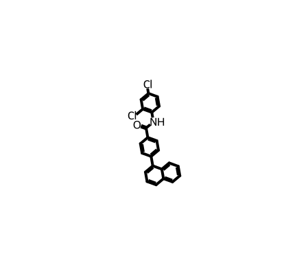 O=C(Nc1ccc(Cl)cc1Cl)c1ccc(-c2cccc3ccccc23)cc1